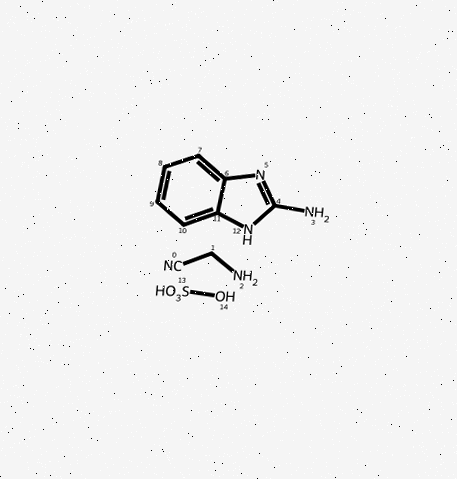 N#CCN.Nc1nc2ccccc2[nH]1.O=S(=O)(O)O